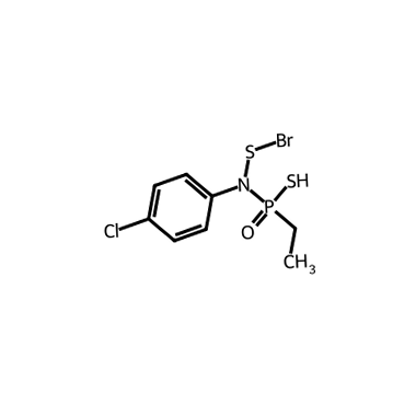 CCP(=O)(S)N(SBr)c1ccc(Cl)cc1